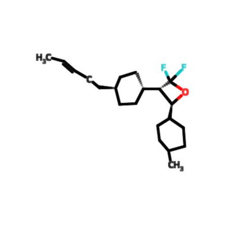 C/C=C/CC[C@H]1CC[C@H]([C@H]2[C@H](C3CCC(C)CC3)OC2(F)F)CC1